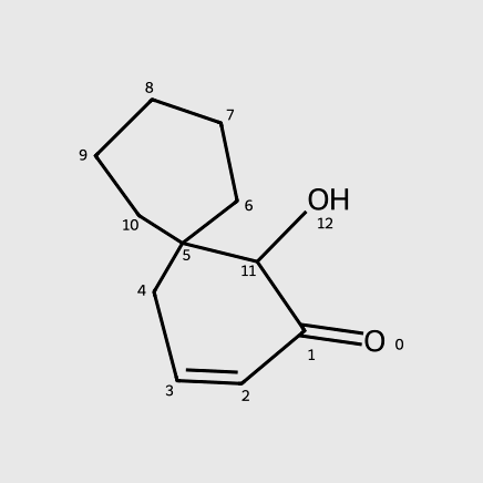 O=C1C=CCC2(CCCCC2)C1O